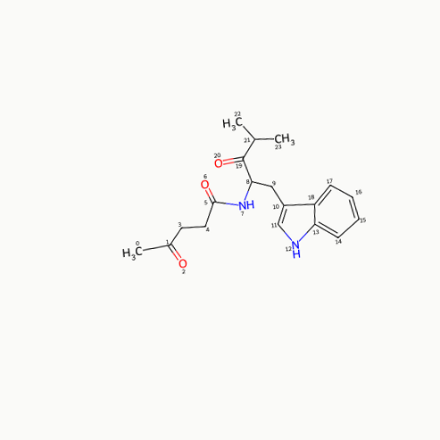 CC(=O)CCC(=O)NC(Cc1c[nH]c2ccccc12)C(=O)C(C)C